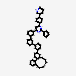 c1ccc(-c2nc(-c3ccc(-c4cccnc4)cc3)cc(-c3cccc(-c4cccc(-c5cccc(-c6ccc7c(c6)CCCCCCCc6ccccc6-7)c5)c4)c3)n2)cc1